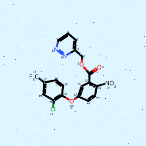 O=C(OCc1cccnn1)c1cc(Oc2ccc(C(F)(F)F)cc2Cl)ccc1[N+](=O)[O-]